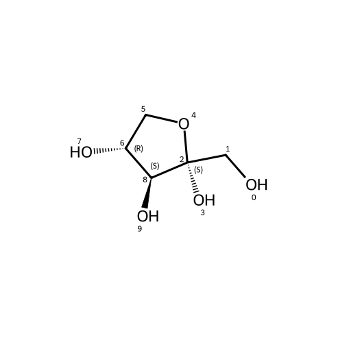 OC[C@]1(O)OC[C@@H](O)[C@@H]1O